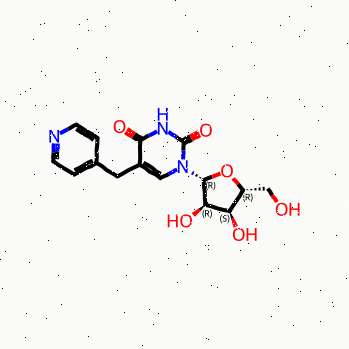 O=c1[nH]c(=O)n([C@@H]2O[C@H](CO)[C@@H](O)[C@H]2O)cc1Cc1ccncc1